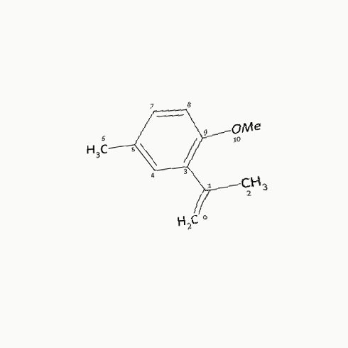 C=C(C)c1cc(C)ccc1OC